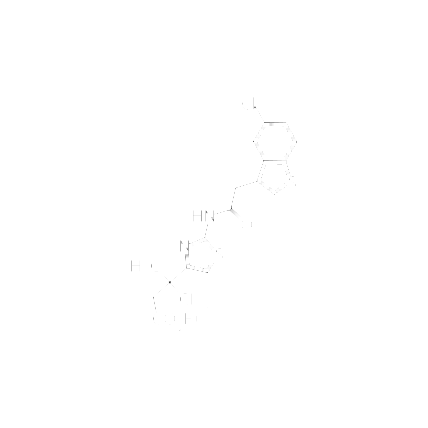 CCOC(=O)CC(C)(C)c1csc(NC(=O)Cc2csc3ccc(Cl)cc23)n1